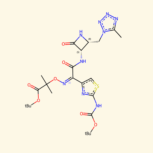 Cc1nnnn1C[C@H]1NC(=O)[C@H]1NC(=O)/C(=N\OC(C)(C)C(=O)OC(C)(C)C)c1csc(NC(=O)OC(C)(C)C)n1